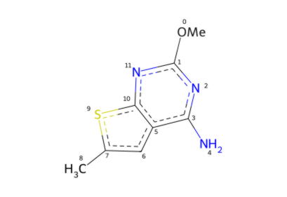 COc1nc(N)c2cc(C)sc2n1